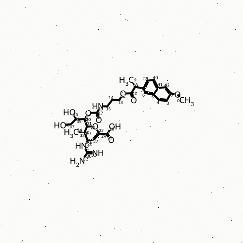 COc1ccc2cc([C@H](C)C(=O)OCCCNC(=O)O[C@@H](C3OC(C(=O)O)=C[C@H](NC(=N)N)[C@H]3C)[C@H](O)CO)ccc2c1